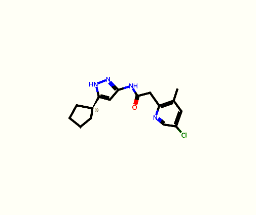 Cc1cc(Cl)cnc1CC(=O)Nc1cc([C@H]2C[CH]CC2)[nH]n1